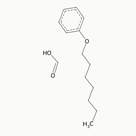 CCCCCCCOc1ccccc1.O=CO